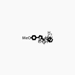 COc1ccc(-c2ccc(C(=O)N[C@@H]3C4CCN(CC4)[C@H]3C)n2C)cc1